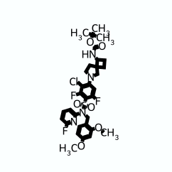 COc1ccc(CN(c2cccc(F)n2)S(=O)(=O)c2c(F)cc(N3CCC4(CCC4NC(=O)OC(C)(C)C)C3)c(Cl)c2F)c(OC)c1